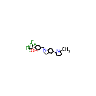 Cc1cccc(-c2ccc3c(c2)CCN3Cc2ccc(C(O)(C(F)(F)F)C(F)(F)F)cc2)n1